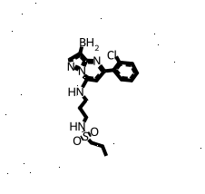 Bc1cnn2c(NCCCNS(=O)(=O)CCC)cc(-c3ccccc3Cl)nc12